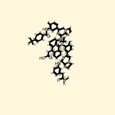 Cc1ccc(-c2cn3ccnc3c(Nc3cccc(C(CC(=O)O)c4ccccc4C(=O)N(c4cc(-c5cn6ccnc6c(Nc6cccc(CC(=O)N(C)C)c6)n5)ccc4C)C(C)(C)C)c3)n2)cc1NC(=O)c1ccc(C(C)(C)C)cc1